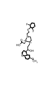 COc1ccc2nccc(C(O)CC[C@@H]3CCN(CCSc4c(F)cccc4F)C[C@@H]3CC(=O)O)c2c1